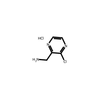 Cl.NCc1nccnc1Cl